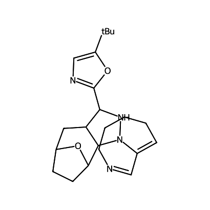 CC(C)(C)c1cnc(C2NN(C3=C\CCCC/N=C\3)C3C4CCC(CC23)O4)o1